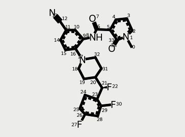 Cn1cccc(C(=O)Nc2cc(C#N)ccc2N2CCC([C@@H](F)c3ccc(F)cc3F)CC2)c1=O